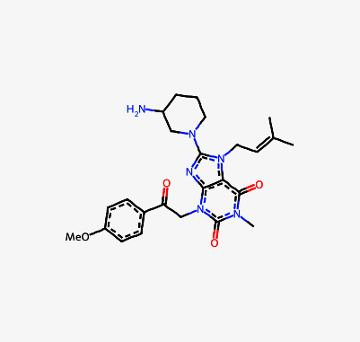 COc1ccc(C(=O)Cn2c(=O)n(C)c(=O)c3c2nc(N2CCCC(N)C2)n3CC=C(C)C)cc1